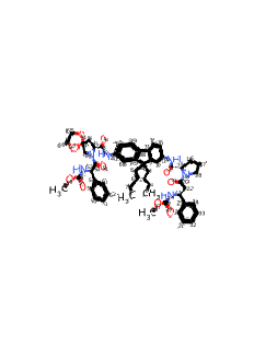 CCCCC1(CCCC)c2cc(NC(=O)[C@@H]3CCCN3C(=O)C[C@H](NC(=O)OC)c3ccccc3)ccc2-c2ccc(NC(=O)[C@@H]3CC4(CN3C(=O)[C@H](NC(=O)OC)c3ccccc3)OCCO4)cc21